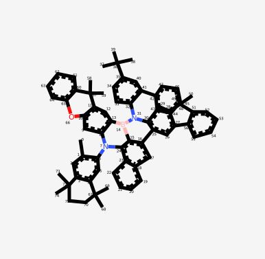 Cc1cc2c(cc1N1c3cc4c(cc3B3c5c(cc6ccccc6c51)-c1cc5c(cc1N3c1ccc(C(C)(C)C)cc1-c1ccccc1)C(C)(C)c1ccccc1-5)C(C)(C)c1ccccc1O4)C(C)(C)CCC2(C)C